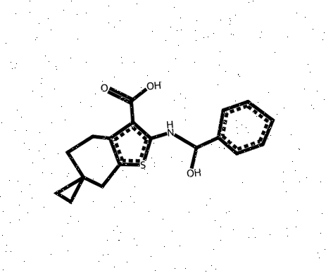 O=C(O)c1c(NC(O)c2ccccc2)sc2c1CCC1(CC1)C2